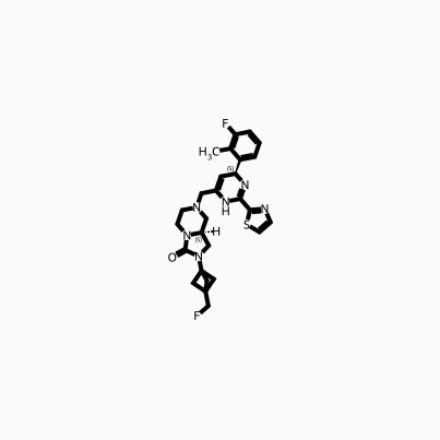 Cc1c(F)cccc1[C@@H]1C=C(CN2CCN3C(=O)N(C45CC(CF)(C4)C5)C[C@@H]3C2)NC(c2nccs2)=N1